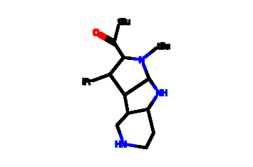 CC(C)C1C2C3CNCCC3NC2N(C(C)(C)C)C1C(=O)C(C)(C)C